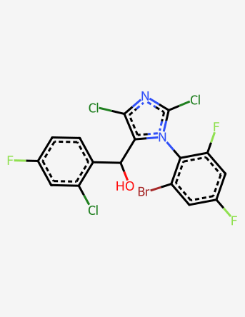 OC(c1ccc(F)cc1Cl)c1c(Cl)nc(Cl)n1-c1c(F)cc(F)cc1Br